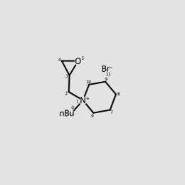 CCCC[N+]1(CC2CO2)CCCCC1.[Br-]